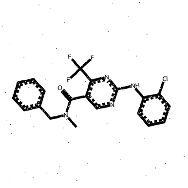 CN(Cc1ccccc1)C(=O)c1cnc(Nc2ccccc2Cl)nc1C(F)(F)F